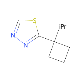 CC(C)C1(c2nncs2)CCC1